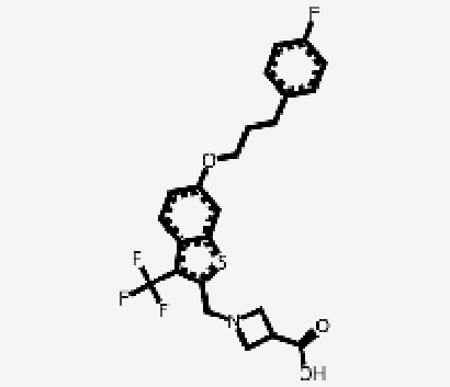 O=C(O)C1CN(Cc2sc3cc(OCCCc4ccc(F)cc4)ccc3c2C(F)(F)F)C1